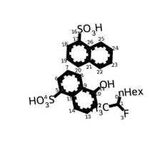 CCCCCCC(C)F.O=S(=O)(O)c1cccc2c(O)cccc12.O=S(=O)(O)c1cccc2ccccc12